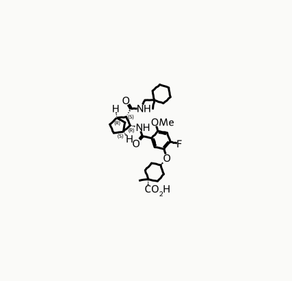 COc1cc(F)c(O[C@H]2CC[C@@](C)(C(=O)O)CC2)cc1C(=O)N[C@@H]1[C@H]2CC[C@H](C2)[C@@H]1C(=O)NCC1(C)CCCCC1